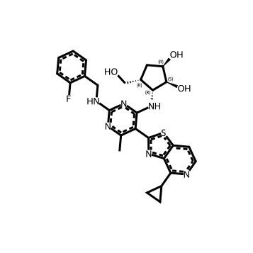 Cc1nc(NCc2ccccc2F)nc(N[C@@H]2[C@H](CO)C[C@@H](O)[C@H]2O)c1-c1nc2c(C3CC3)nccc2s1